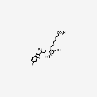 O=C(O)CCCCCCC1[C@@H](CCC(O)c2cc3ccc(F)cc3s2)[C@H](O)C[C@@H]1O